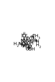 CN(CCCN)C[C@H]1O[C@@H](n2c(-c3ccccc3)nc3c(N)ncnc32)C(O)C1O.O=S(=O)(O)O